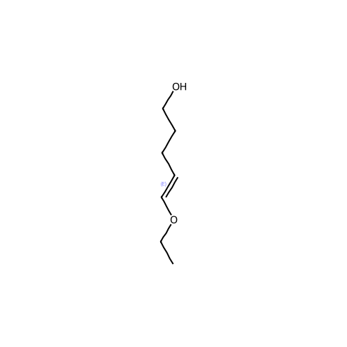 CCO/C=C/CCCO